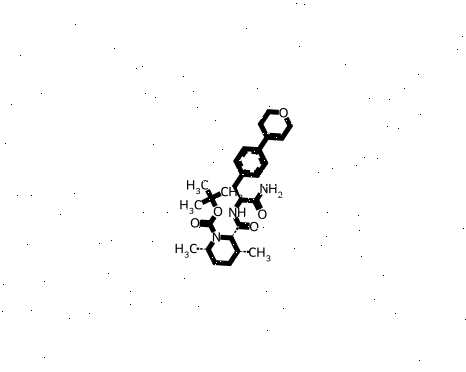 C[C@@H]1CC[C@H](C)N(C(=O)OC(C)(C)C)[C@@H]1C(=O)N[C@@H](Cc1ccc(C2=CCOCC2)cc1)C(N)=O